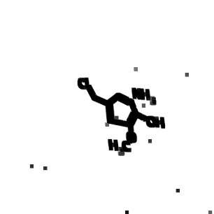 COc1cc(CCl)ccc1O.N